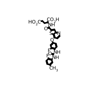 Cc1ccc(F)c(NC(=O)Nc2ccc(Oc3ccnc4cc(C(=O)NC(CCC(=O)O)C(=O)O)sc34)cc2F)c1